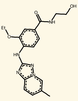 CCOc1cc(C(=O)NCCO)ccc1Nc1nc2ccc(C)cn2n1